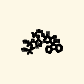 CC(C)(C)[Si](C)(C)OC[C@H]1O[C@@H](n2cc(C3(O)c4ccccc4-c4ccccc43)c(=O)[nH]c2=O)[C@H](O[Si](C)(C)C(C)(C)C)[C@@H]1O[Si](C)(C)C(C)(C)C